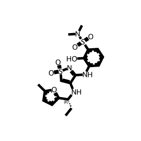 CC[C@@H](NC1=CS(=O)(=O)N=C1Nc1cccc(S(=O)(=O)N(C)C)c1O)c1ccc(C)o1